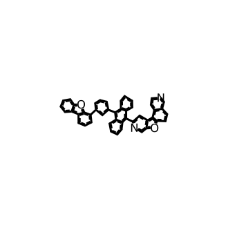 c1cc(-c2c3ccccc3c(-c3cc4c(cn3)oc3ccc5cnccc5c34)c3ccccc23)cc(-c2cccc3c2oc2ccccc23)c1